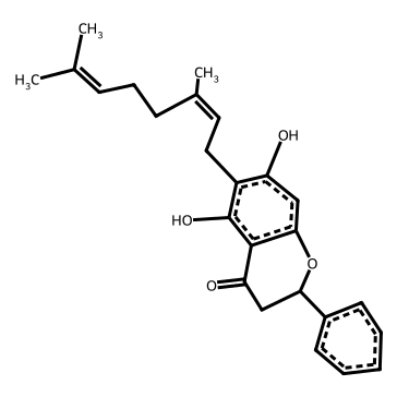 CC(C)=CCCC(C)=CCc1c(O)cc2c(c1O)C(=O)CC(c1ccccc1)O2